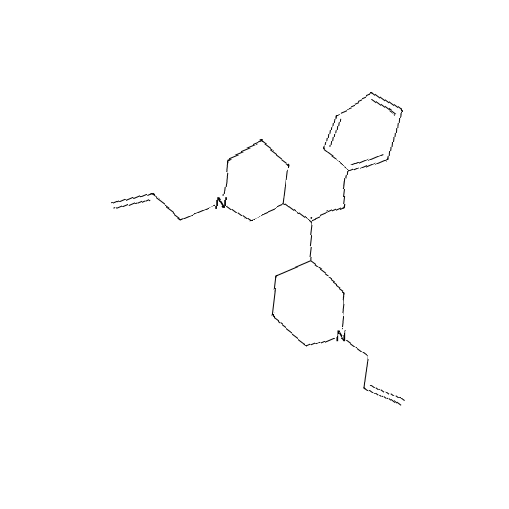 C=CCN1CCCC([C](Cc2ccccc2)C2CCCN(CC=C)C2)C1